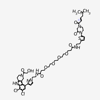 CN(C)C/C=C/C(=O)N1CCN(c2ccc(CCNC(=O)CCOCCOCCOCCOCCC(=O)NCCn3ccc(-c4cc(Cl)c(Cl)c5[nH]c6c(c45)CN(C(=O)CO)CC6)n3)s2)C(=O)C1